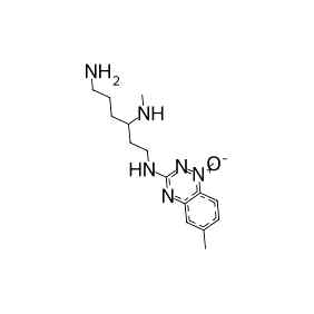 CNC(CCCN)CCNc1nc2cc(C)ccc2[n+]([O-])n1